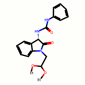 CCOC(CN1C(=O)[C@@H](NC(=O)Nc2ccccc2)c2ccccc21)OCC